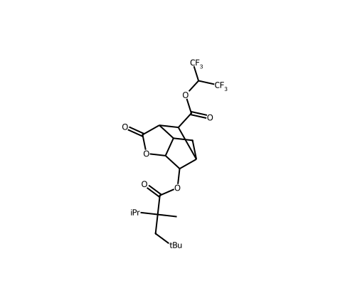 CC(C)C(C)(CC(C)(C)C)C(=O)OC1C2CC3C1OC(=O)C3C2C(=O)OC(C(F)(F)F)C(F)(F)F